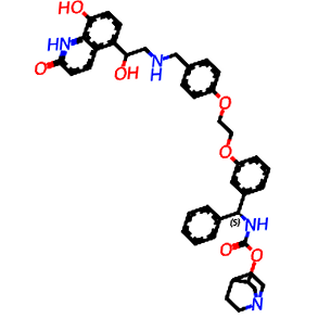 O=C(N[C@@H](c1ccccc1)c1cccc(OCCOc2ccc(CNCC(O)c3ccc(O)c4[nH]c(=O)ccc34)cc2)c1)OC1CN2CCC1CC2